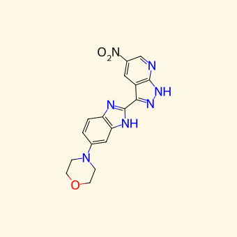 O=[N+]([O-])c1cnc2[nH]nc(-c3nc4ccc(N5CCOCC5)cc4[nH]3)c2c1